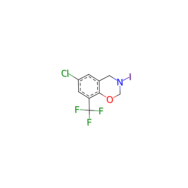 FC(F)(F)c1cc(Cl)cc2c1OCN(I)C2